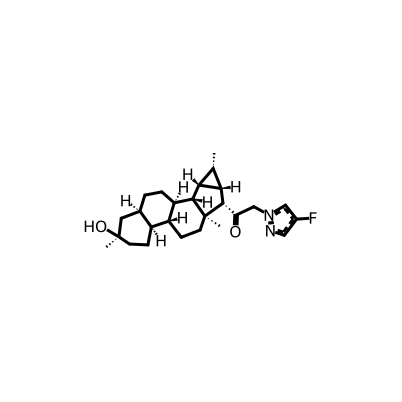 C[C@H]1[C@@H]2[C@H]1[C@H](C(=O)Cn1cc(F)cn1)[C@@]1(C)CC[C@H]3[C@@H](CC[C@@H]4C[C@](C)(O)CC[C@@H]43)[C@H]21